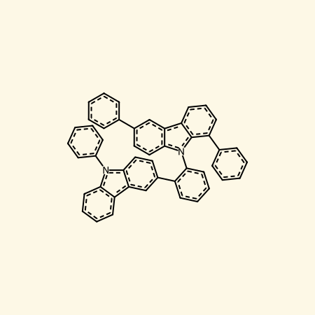 c1ccc(-c2ccc3c(c2)c2cccc(-c4ccccc4)c2n3-c2ccccc2-c2ccc3c(c2)c2ccccc2n3-c2ccccc2)cc1